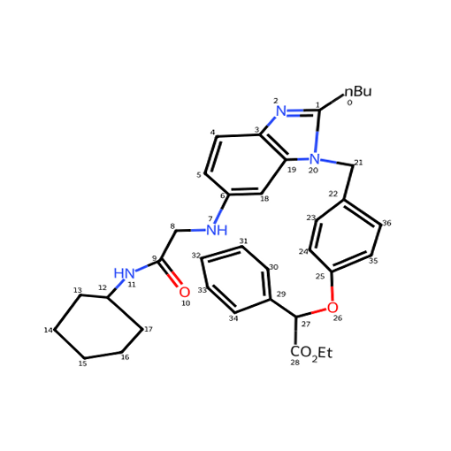 CCCCc1nc2ccc(NCC(=O)NC3CCCCC3)cc2n1Cc1ccc(OC(C(=O)OCC)c2ccccc2)cc1